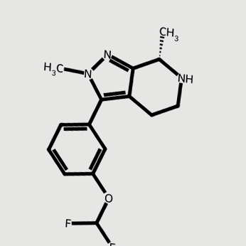 C[C@@H]1NCCc2c1nn(C)c2-c1cccc(OC(F)F)c1